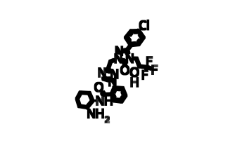 N[C@H]1CCCC[C@@H]1NC(=O)c1ccccc1-n1cnc(Cn2nc(-c3ccc(Cl)cc3)n(C[C@H](O)C(F)(F)F)c2=O)n1